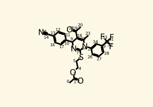 CC(=O)OCCSC1=NC(c2ccc(C#N)cc2)C(C(C)=O)=C(C)N1c1cccc(C(F)(F)F)c1